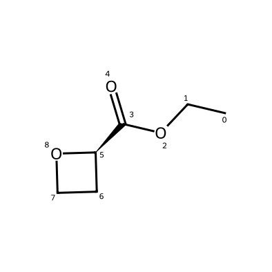 CCOC(=O)[C@H]1CCO1